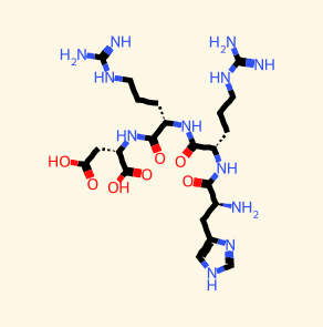 N=C(N)NCCC[C@H](NC(=O)[C@H](CCCNC(=N)N)NC(=O)[C@@H](N)Cc1c[nH]cn1)C(=O)N[C@@H](CC(=O)O)C(=O)O